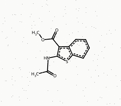 COC(=O)c1c(NC(C)=O)sc2ccccc12